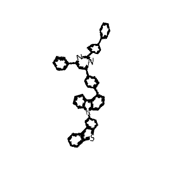 c1ccc(-c2ccc(-c3nc(-c4ccccc4)cc(-c4ccc(-c5cccc6c5c5ccccc5n6-c5ccc6sc7ccccc7c6c5)cc4)n3)cc2)cc1